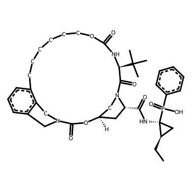 CC[C@@H]1C[C@]1(NC(=O)[C@@H]1C[C@@H]2CN1C(=O)[C@H](C(C)(C)C)NC(=O)OCCCCCCc1cccc3c1CN(C3)C(=O)O2)P(=O)(O)c1ccccc1